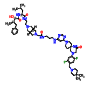 CC(C)C[C@H](NC(=O)[C@@H](O)[C@H](C)Cc1ccccc1)C(=O)NCCN1C[C@@H]2CN(CC(=O)NCCCNc3cc(N4CCC5(CC4)CN(c4cc(F)c(CN6CCC(C)(C)CC6)cc4F)CC(=O)N5)ncn3)C[C@@H]2C1